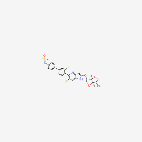 CS(C)(=O)=Nc1ccc(-c2ccc(-c3nc4cc(O[C@@H]5CO[C@H]6[C@@H]5OC[C@H]6O)[nH]c4cc3F)c(F)c2)cc1